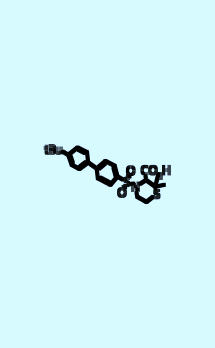 CC(C)(C)c1ccc(-c2ccc(S(=O)(=O)N3CCSC(C)(C)C3C(=O)O)cc2)cc1